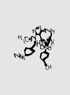 C#Cc1ccc(S(=O)(=O)N2[C@H]3CNc4ncnc(N(C)Cc5ccc(N=[N+]=[N-])cc5)c4[C@@H]2OC3)cc1